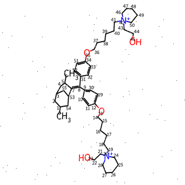 CC1CC2CC(C)C(=C(c3ccc(OCCCCCC[N+]4(CCO)CCCCC4)cc3)c3ccc(OCCCCCC[N+]4(CCO)CCCCC4)cc3)C(C1)C2